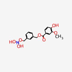 COc1cc(C(=O)OCc2cccc(CON(O)O)c2)ccc1O